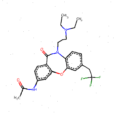 CCN(CC)CCN1C(=O)c2ccc(NC(C)=O)cc2Oc2cc(CC(F)(F)F)ccc21